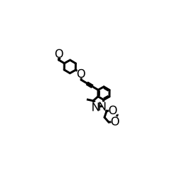 Cc1nn(C2CCOCO2)c2cccc(C#CCOC3CCC(C=O)CC3)c12